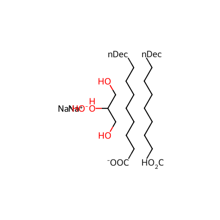 CCCCCCCCCCCCCCCCCC(=O)O.CCCCCCCCCCCCCCCCCC(=O)[O-].OCC(O)CO.[Na+].[Na+].[OH-]